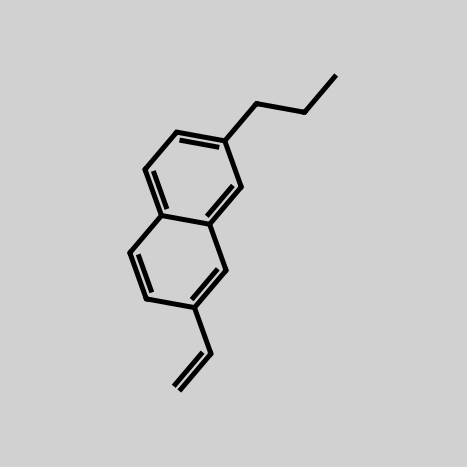 C=Cc1ccc2ccc(CCC)cc2c1